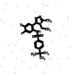 CCn1c(C)nnc1-c1cc(F)c(F)cc1NS(=O)(=O)c1ccc(C(C)(C)C)cc1